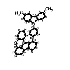 Cc1ccc2c(c1)c1cc(C)ccc1n2-c1ccc(-c2cccc3c4cccc5c4n(c23)-c2ccccc2O5)cc1